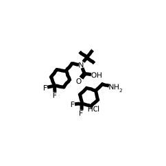 CC(C)(C)N(CC1CCC(F)(F)CC1)C(=O)O.Cl.NCC1CCC(F)(F)CC1